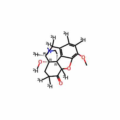 [2H]O[C@@]12CC([2H])([2H])C(=O)C3([2H])Oc4c(OC)c([2H])c([2H])c5c4[C@@]31CCN(C)[C@]2([2H])C5([2H])[2H]